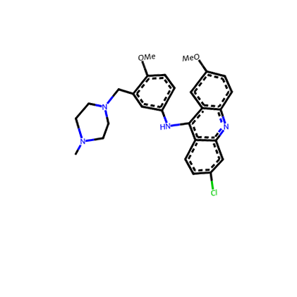 COc1ccc2nc3cc(Cl)ccc3c(Nc3ccc(OC)c(CN4CCN(C)CC4)c3)c2c1